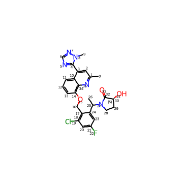 Cc1cc(-c2ncnn2C)c2cccc(OCc3c(Cl)cc(F)cc3C(C)N3CC[C@H](O)C3=O)c2n1